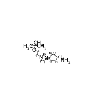 CC(C)(C)OCCN1C=CN(c2ccc(CN)cc2)C1